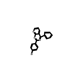 Brc1ccc(-c2nc(-c3ccccc3)c3cccnc3n2)cc1